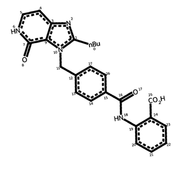 CCCCc1nc2cc[nH]c(=O)c2n1Cc1ccc(C(=O)Nc2ccccc2C(=O)O)cc1